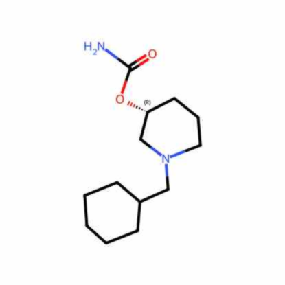 NC(=O)O[C@@H]1CCCN(CC2CCCCC2)C1